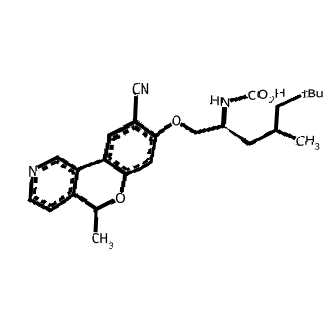 CC(C[C@@H](COc1cc2c(cc1C#N)-c1cnccc1C(C)O2)NC(=O)O)CC(C)(C)C